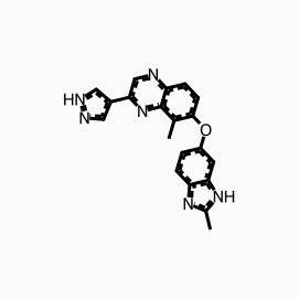 Cc1nc2ccc(Oc3ccc4ncc(-c5cn[nH]c5)nc4c3C)cc2[nH]1